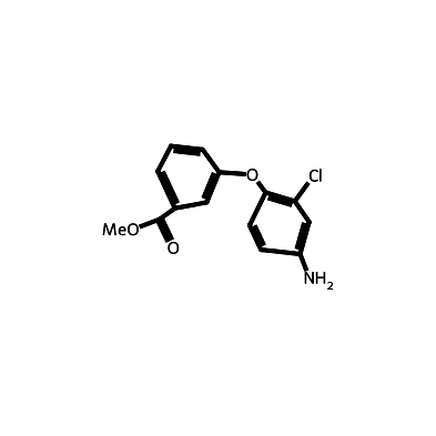 COC(=O)c1cccc(Oc2ccc(N)cc2Cl)c1